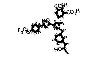 Cc1c(C(=O)O)cccc1C(=O)O.Cc1cc(-c2nc(-c3ccc(SC(F)(F)F)cc3)no2)nn1Cc1cccc(CC(C)O)c1